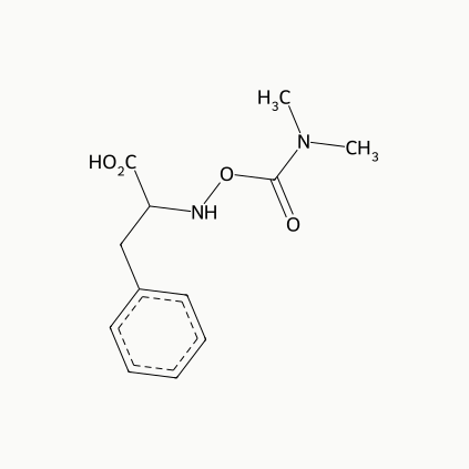 CN(C)C(=O)ONC(Cc1ccccc1)C(=O)O